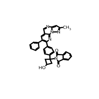 Cc1cc2ncc3cc(-c4ccccc4)c(-c4ccc(C5(N6C(=O)c7ccccc7C6=O)CC(O)C5)cc4)nc3n2n1